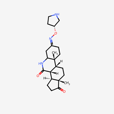 C[C@]12CCC(=NO[C@@H]3CCNC3)CC1NC(=O)[C@@H]1[C@H]2CC[C@]2(C)C(=O)CC[C@@H]12